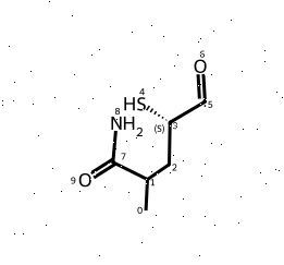 CC(C[C@H](S)[C]=O)C(N)=O